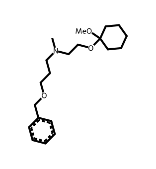 COC1(OCCN(C)CCCOCc2ccccc2)CCCCC1